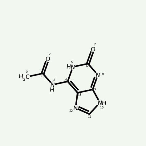 CC(=O)Nc1[nH]c(=O)nc2[nH]cnc12